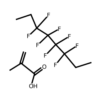 C=C(C)C(=O)O.CCC(F)(F)C(F)(F)C(F)(F)C(F)(F)CC